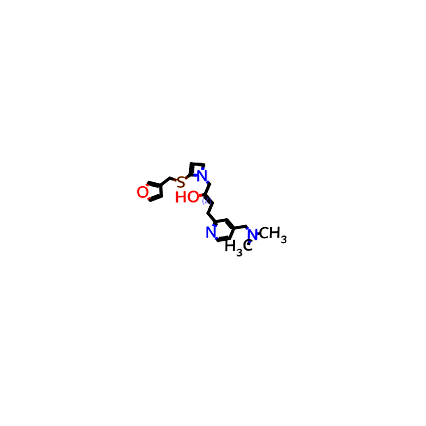 CN(C)Cc1ccnc(C/C=C(\O)CN2CC=C2SCc2ccoc2)c1